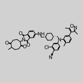 Cc1ccc(-c2c(C)noc2C)cc1N(C[C@H]1CC[C@H](CNc2ccc3c(c2)C(=O)N(C2CCC(=O)C(C)CCC2=O)C3=O)CC1)c1ccc(C#N)c(Cl)c1